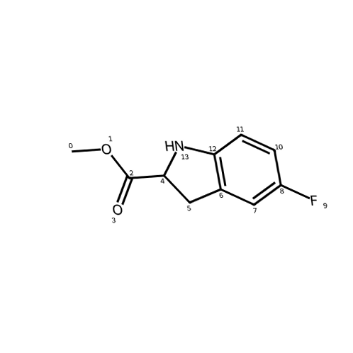 COC(=O)C1Cc2cc(F)ccc2N1